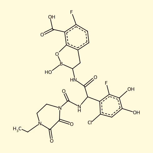 CCN1CCN(C(=O)NC(C(=O)NC2Cc3ccc(F)c(C(=O)O)c3OB2O)c2c(Cl)cc(O)c(O)c2F)C(=O)C1=O